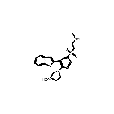 CNCCS(=O)(=O)c1ccc(N2CC[C@H](O)C2)c(-c2cc3ccccc3[nH]2)c1